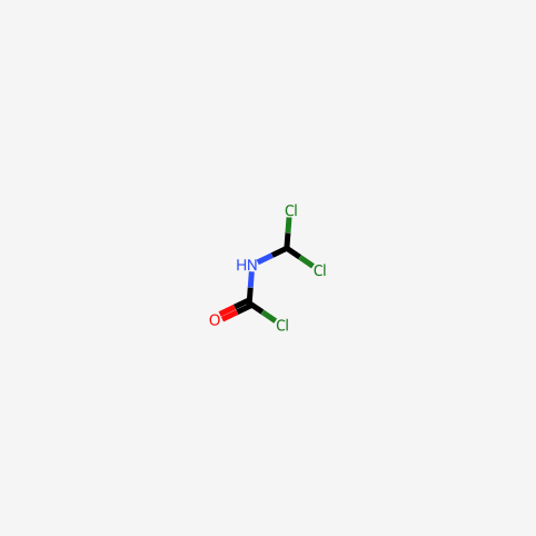 O=C(Cl)NC(Cl)Cl